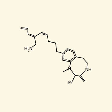 C=C/C=C(\C=C/CCCc1ccc2c(c1)N(C)C(C(C)C)C(=C)NCC2)CN